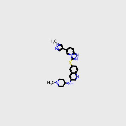 CN1CCC(Nc2cnc3ccc(Sc4nnc5ccc(-c6cnn(C)c6)cn45)cc3c2)CC1